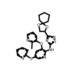 Cc1ncccc1Oc1cc(Sc2ccccn2)cnc1Nc1nc(C2COC3(CCCCC3)O2)ns1